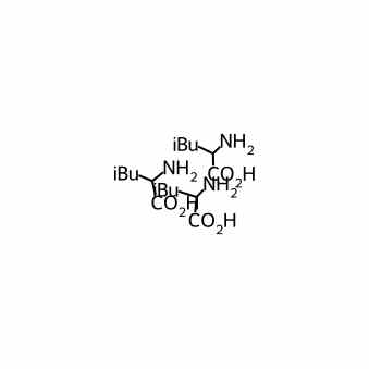 CCC(C)C(N)C(=O)O.CCC(C)C(N)C(=O)O.CCC(C)C(N)C(=O)O